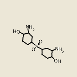 NC1CC(S(=O)(=O)C2CCC(O)C(N)C2)CCC1O